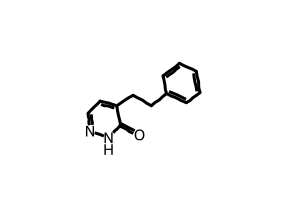 O=c1[nH]nccc1CCc1ccccc1